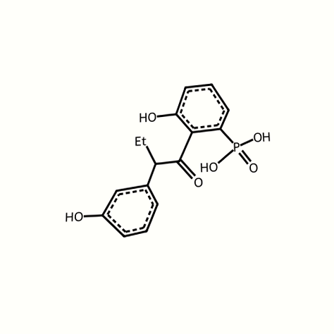 CCC(C(=O)c1c(O)cccc1P(=O)(O)O)c1cccc(O)c1